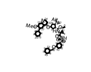 C=C[C@@H]1C[C@]1(NC(=O)[C@@H]1C[C@@H](Oc2ccnc3cc(OC)c(-c4ccccc4)cc23)C[C@@H]1N(C)C(C)=O)C(=O)NS(=O)(=O)c1cccc(OCc2ccccc2)c1